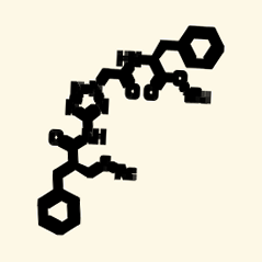 CC(=O)SC[C@@H](Cc1ccccc1)C(=O)Nc1nnn(CC(=O)N[C@@H](Cc2ccccc2)C(=O)OC(C)(C)C)n1